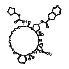 C=C[C@@H]1C[C@@]12NC(=O)[C@@H]1C[C@@H](OC(=O)N3Cc4ccncc4C3)CN1C(=O)[C@@H](NC(=O)OC1CCCC1)CCCCCCCNc1ccccc1S(=O)(=O)NC2=O